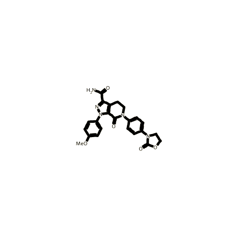 COc1ccc(-n2nc(C(N)=O)c3c2C(=O)N(c2ccc(N4CCOC4=O)cc2)CC3)cc1